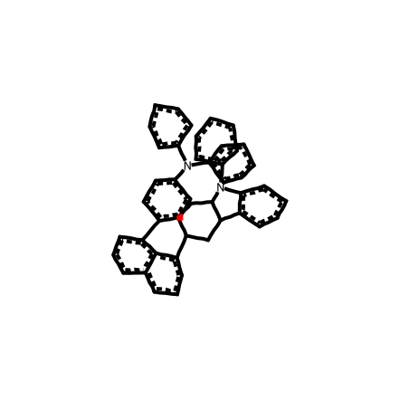 c1ccc(N(c2ccccc2)c2ccc(-c3cccc4cccc(C5CCC6C(C5)c5ccccc5N6c5ccccc5)c34)cc2)cc1